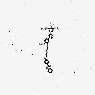 COc1ccc(-c2cc(-c3cc(C)c(C)c(OC)c3)no2)cc1OCCCCCCOc1ccc(-c2nc3ccccc3s2)cc1